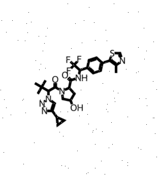 Cc1ncsc1-c1ccc(C(NC(=O)C2CC(O)CN2C(=O)C(n2cc(C3CC3)nn2)C(C)(C)C)C(F)(F)F)cc1